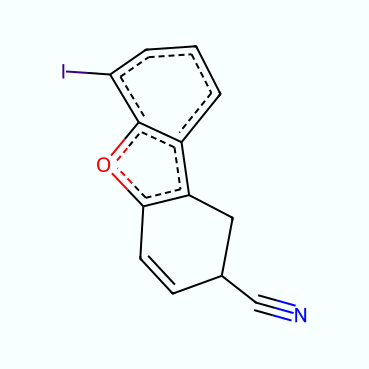 N#CC1C=Cc2oc3c(I)cccc3c2C1